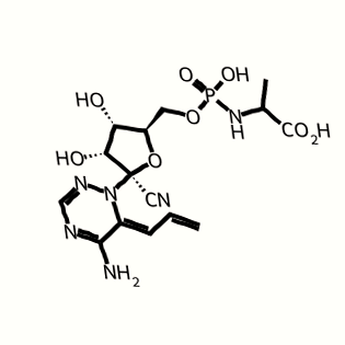 C=C/C=C1/C(N)=NC=NN1[C@]1(C#N)O[C@H](COP(=O)(O)NC(C)C(=O)O)[C@@H](O)[C@H]1O